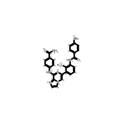 Cc1c(NC(=O)c2ccc(C(C)(C)C)cc2)cccc1-c1cn2ccnc2c(Nc2ccc(C(N)=O)cc2)n1